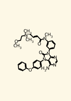 COCC[N+](C)(C)C/C=C/C(=O)N(C)c1cccc(-n2c(=O)n(-c3ccc(Oc4ccccc4)cc3)c3c(N)ncnc32)c1